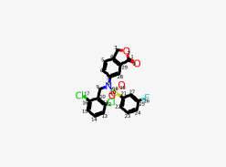 O=C1OCc2ccc(N(Cc3c(Cl)cccc3Cl)S(=O)(=O)c3cccc(F)c3)cc21